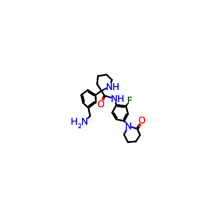 NCc1cccc(C2(C(=O)Nc3ccc(N4CCCCC4=O)cc3F)CCCCN2)c1